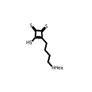 CCCCCCCCCCc1c(S)c(=S)c1=S